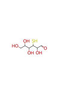 O=CC(O)C(S)C(O)C(O)CO